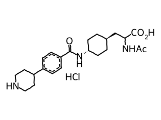 CC(=O)NC(C[C@H]1CC[C@H](NC(=O)c2ccc(C3CCNCC3)cc2)CC1)C(=O)O.Cl